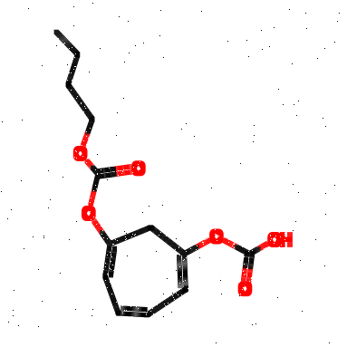 CCCCOC(=O)OC1=CC=CC=C(OC(=O)O)C1